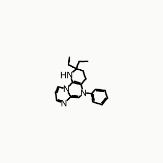 CCC1(CC)CCC2=C(N1)N1C=CC=NC1=CN2c1ccccc1